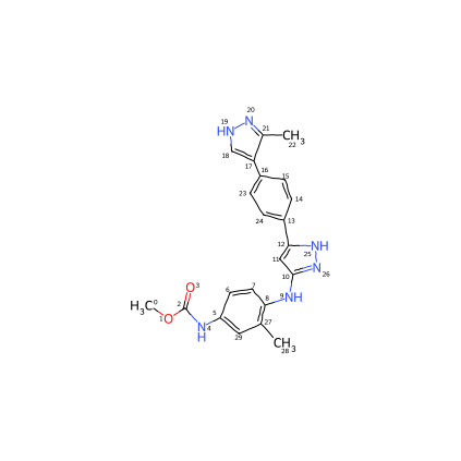 COC(=O)Nc1ccc(Nc2cc(-c3ccc(-c4c[nH]nc4C)cc3)[nH]n2)c(C)c1